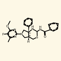 COc1nc(N2C[C@H]3CSC(NC(=O)c4ccccc4)N[C@@]3(c3ccccc3)C2)nc(C)c1F